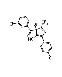 N#CC1=C(c2ccc(Cl)cc2)N=C(C(F)(F)F)C1(Br)C(=O)c1cccc(Cl)c1